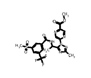 COC(=O)c1cnc(-n2nc(C)nc2C(C)NC(=O)c2cc(C(F)(F)F)cc(S(C)(=O)=O)c2)cn1